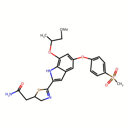 COCC(C)Oc1cc(Oc2ccc(S(C)(=O)=O)cc2)cc2cc(C3=NCC(CC(N)=O)S3)[nH]c12